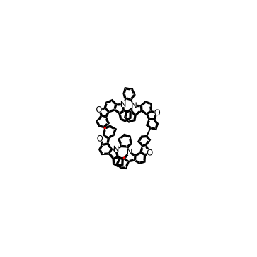 c1ccc(-n2c3ccccc3c3c4c(ccc32)oc2ccc(-c3ccc5c(c3)oc3ccc6c7ccccc7n(-c7ccccc7-n7c8ccccc8c8ccc9oc%10ccccc%10c9c87)c6c35)cc24)c(-n2c3ccccc3c3c4c(ccc32)oc2ccccc24)c1